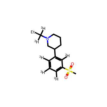 [2H]c1c([2H])c(C2CCCN(C([2H])([2H])CC)C2)c([2H])c(S(C)(=O)=O)c1[2H]